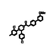 COc1cccc(-c2ccc(CC(=O)N3CCN(c4ccc(C)cc4Cl)C(c4ccc(Cl)cc4)C3)cc2)c1